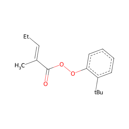 CCC=C(C)C(=O)OOc1ccccc1C(C)(C)C